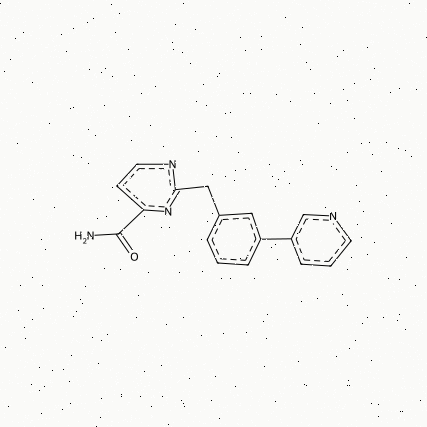 NC(=O)c1ccnc(Cc2cccc(-c3cccnc3)c2)n1